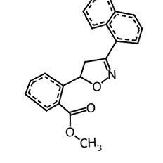 COC(=O)c1ccccc1C1CC(c2cccc3ccccc23)=NO1